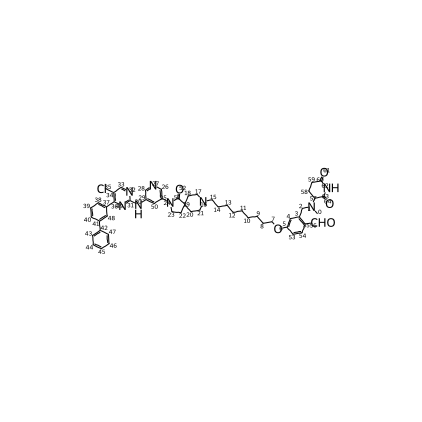 CN(Cc1cc(OCCCCCCCCCN2CCC3(CC2)CCN(c2cncc(Nc4ncc(Cl)c(-c5cccc(-c6ccccc6)c5)n4)c2)C3=O)ccc1C=O)C1CCC(=O)NC1=O